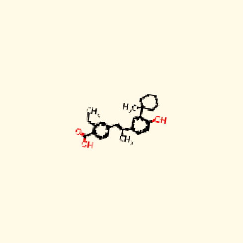 CCc1cc(/C=C(\C)c2ccc(O)c(C3(C)CCCCC3)c2)ccc1C(=O)O